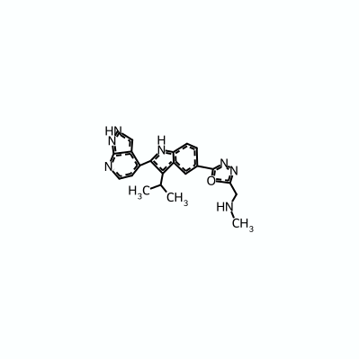 CNCc1nnc(-c2ccc3[nH]c(-c4ccnc5n[nH]cc45)c(C(C)C)c3c2)o1